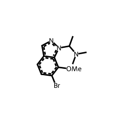 COc1c(Br)ccc2cnn(C(C)N(C)C)c12